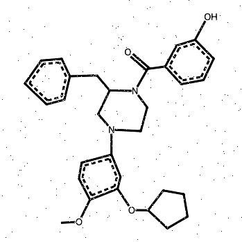 COc1ccc(N2CCN(C(=O)c3cccc(O)c3)C(Cc3ccccc3)C2)cc1OC1CCCC1